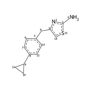 Nc1nc(Cc2ccc(C3CC3)cc2)cs1